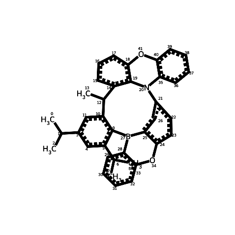 CC(C)c1cc(C(C)C)c2c(c1)C(C)c1cccc3c1N(c1ccc4c(c1)B2c1ccccc1O4)c1ccccc1O3